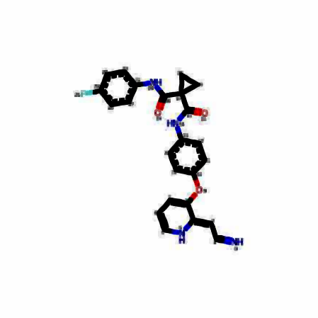 N=C/C=C1\NC=CC=C1Oc1ccc(NC(=O)C2(C(=O)Nc3ccc(F)cc3)CC2)cc1